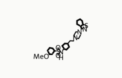 COc1cccc(S(=O)(=O)Nc2ccc(CCN3CCN(c4nsc5ccccc45)CC3)cc2)c1